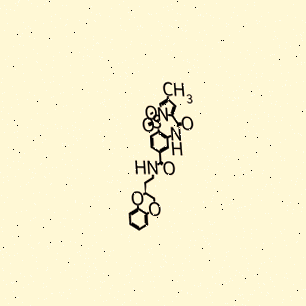 Cc1cc2n(c1)S(=O)(=O)c1ccc(C(=O)NCC[C@H]3COc4ccccc4O3)cc1NC2=O